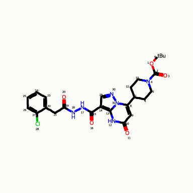 CC(C)(C)OC(=O)N1CCC(c2cc(=O)[nH]c3c(C(=O)NNC(=O)Cc4ccccc4Cl)cnn23)CC1